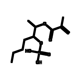 C=C(C)C(=O)OC(C)C(CCCC)OP(=O)(O)O